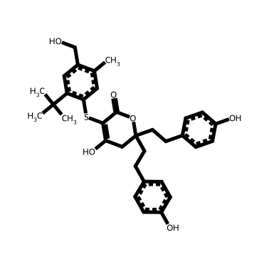 Cc1cc(SC2=C(O)CC(CCc3ccc(O)cc3)(CCc3ccc(O)cc3)OC2=O)c(C(C)(C)C)cc1CO